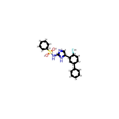 O=S(=O)(Nc1ncc(-c2cc(-c3ccccc3)ccc2F)[nH]1)c1ccccc1